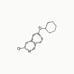 Clc1cc2cc(OC3CCCCC3)ccc2cn1